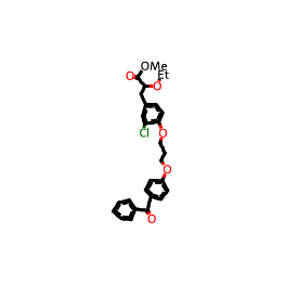 CCOC(Cc1ccc(OCCCOc2ccc(C(=O)c3ccccc3)cc2)c(Cl)c1)C(=O)OC